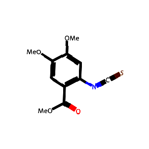 COC(=O)c1cc(OC)c(OC)cc1N=C=S